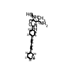 C[C@@H](N)[C@H](NC(=O)c1ccc(C#CC#Cc2cccnc2)cc1)C(=O)NO